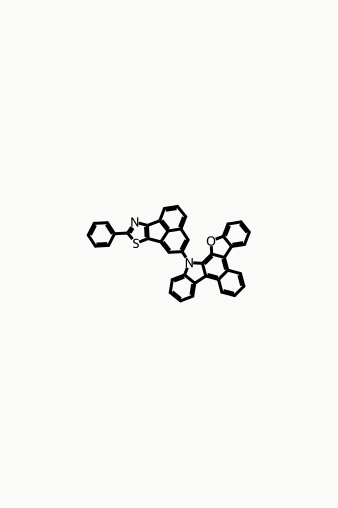 c1ccc(-c2nc3c(s2)-c2cc(-n4c5ccccc5c5c6ccccc6c6c7ccccc7oc6c54)cc4cccc-3c24)cc1